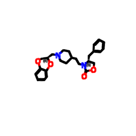 O=C1OC[C@H](Cc2ccccc2)N1CCC1CCN(C[C@@H]2COc3ccccc3O2)CC1